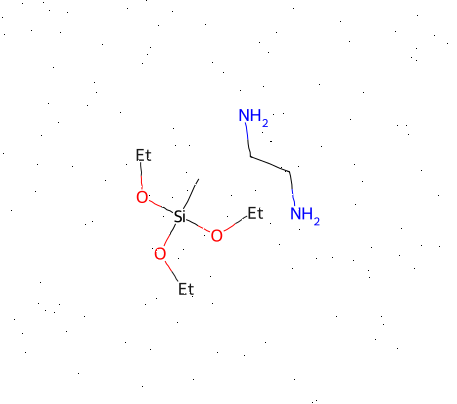 CCO[Si](C)(OCC)OCC.NCCN